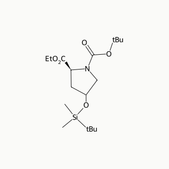 CCOC(=O)[C@@H]1CC(O[Si](C)(C)C(C)(C)C)CN1C(=O)OC(C)(C)C